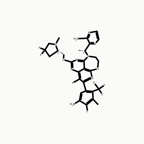 Cc1c(F)c(N)cc(-c2nc3c4c(nc(OC[C@@H]5CC(F)(F)CN5C)nc4c2F)N([C@H](C)c2nccnc2N)CCO3)c1C(F)(F)F